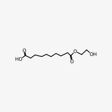 O=C(O)CCCCCCCCC(=O)OCCO